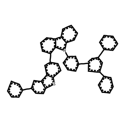 c1ccc(-c2cc(-c3ccccc3)cc(-c3cccc(-n4c5ccccc5c5cccc(-c6ccc7sc8ccc(-c9ccccc9)cc8c7c6)c54)c3)c2)cc1